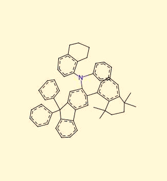 CC1(C)CCC(C)(C)c2c(-c3cc4c(cc3N(c3ccccc3)c3cccc5c3CCCC5)C(c3ccccc3)(c3ccccc3)c3ccccc3-4)cccc21